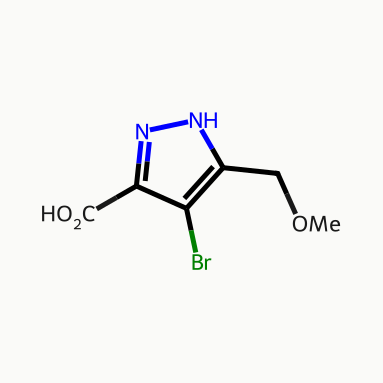 COCc1[nH]nc(C(=O)O)c1Br